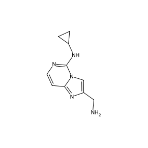 NCc1cn2c(NC3CC3)nccc2n1